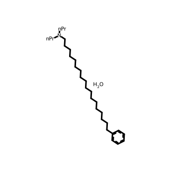 CCCN(CCC)CCCCCCCCCCCCCCCCCCc1ccccc1.O